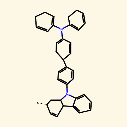 C[C@H]1C=CC2c3ccccc3N(c3ccc(C4C=CC(N(C5=CCCC=C5)C5=CC=CCC5)=CC4)cc3)C2C1